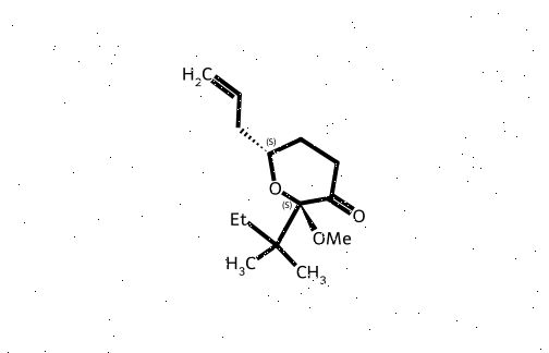 C=CC[C@@H]1CCC(=O)[C@](OC)(C(C)(C)CC)O1